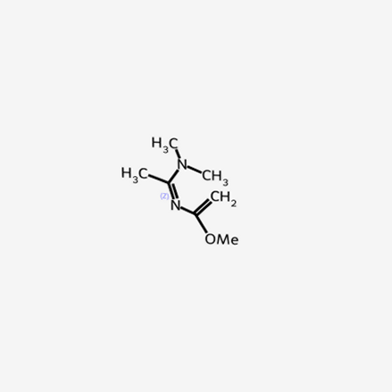 C=C(/N=C(/C)N(C)C)OC